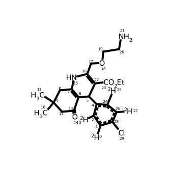 [2H]c1c([2H])c(C2C3=C(CC(C)(C)CC3=O)NC(COCCN)=C2C(=O)OCC)c([2H])c([2H])c1Cl